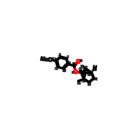 COc1ccc(C(=O)O[C@H]2C[C@H]3CC[C@@]2(C)C3(C)C)cc1